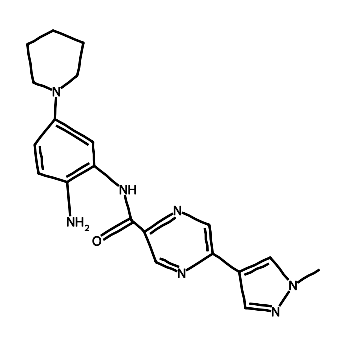 Cn1cc(-c2cnc(C(=O)Nc3cc(N4CCCCC4)ccc3N)cn2)cn1